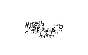 CC1(C)OB(c2cnc3ccc(N4CCOCC4)nc3c2)OC1(C)C